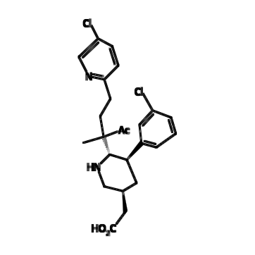 CC(=O)C(C)(CCc1ccc(Cl)cn1)[C@H]1NC[C@H](CC(=O)O)C[C@@H]1c1cccc(Cl)c1